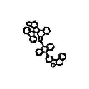 c1ccc2c(c1)-c1ccccc1C21c2c(ccc3ccccc23)-c2c1c1ccc(-c3c4ccccc4c(-c4ccc5oc6ccc7ccccc7c6c5c4)c4ccccc34)cc1c1ccccc21